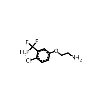 NCCOc1ccc(Cl)c(C(F)(F)P)c1